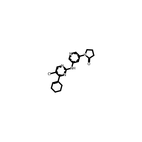 O=C1CCCN1c1cncc(Nc2ncc(Cl)c(C3=CCCCC3)n2)c1